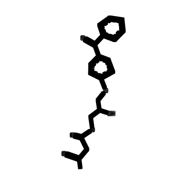 CC(=O)CC(=O)OCC(O)COc1ccc(C(=O)c2ccccc2)cc1